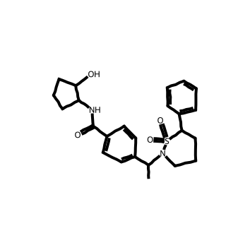 CC(c1ccc(C(=O)NC2CCCC2O)cc1)N1CCCC(c2ccccc2)S1(=O)=O